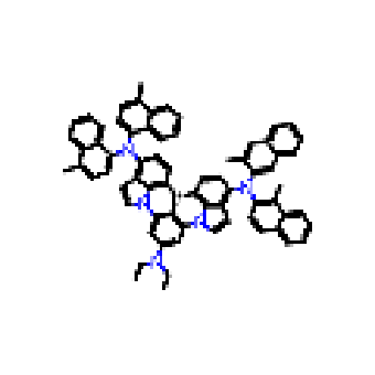 CCN(CC)c1cc2c3c(c1)-n1ccc4c(N(c5ccc(C)c6ccccc56)c5ccc(C)c6ccccc56)ccc(c41)B3c1ccc(N(c3cc4ccccc4cc3C)c3ccc4ccccc4c3C)c3ccn-2c13